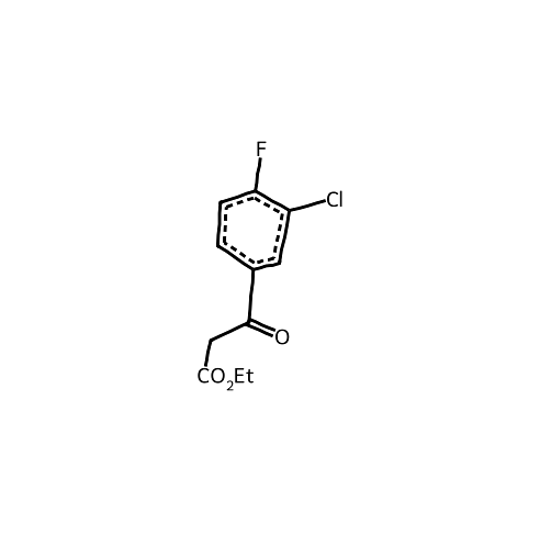 CCOC(=O)CC(=O)c1ccc(F)c(Cl)c1